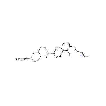 C/C=C/CCc1ccc2cc(C3CCC4CC(CCCCC)CCC4C3)ccc2c1F